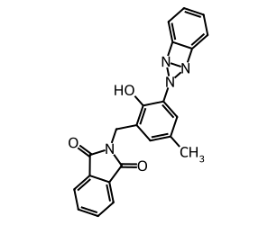 Cc1cc(CN2C(=O)c3ccccc3C2=O)c(O)c(-n2n3c4ccccc4n23)c1